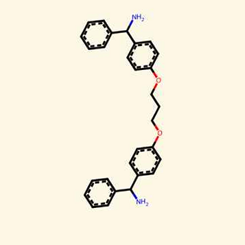 NC(c1ccccc1)c1ccc(OCCCOc2ccc(C(N)c3ccccc3)cc2)cc1